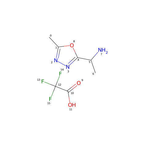 Cc1nnc(C(C)N)o1.O=C(O)C(F)(F)F